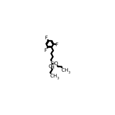 CCCO[SiH](CCCCc1c(F)cc(F)cc1F)OCCC